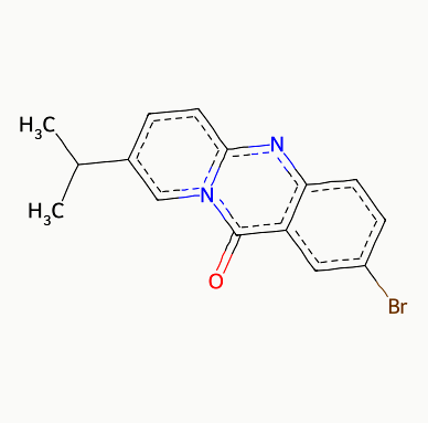 CC(C)c1ccc2nc3ccc(Br)cc3c(=O)n2c1